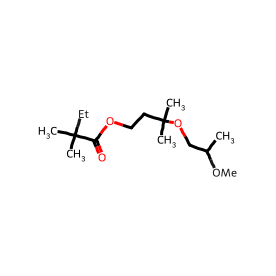 CCC(C)(C)C(=O)OCCC(C)(C)OCC(C)OC